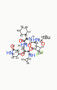 CN(C(=O)[C@H](NC(=O)C(C)(C)C)C1CC(F)(F)C1)[C@H](C(=O)N[C@@H](C[C@@H]1CCCNC1=O)C(=O)C(=O)NC1CC1)C1CCCCC1